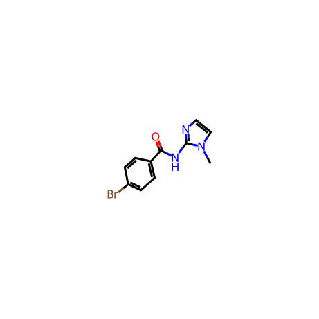 Cn1ccnc1NC(=O)c1ccc(Br)cc1